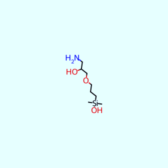 C[Si](C)(O)CCCOCC(O)CN